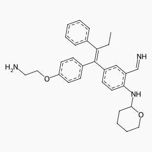 CC/C(=C(/c1ccc(OCCN)cc1)c1ccc(NC2CCCCO2)c(C=N)c1)c1ccccc1